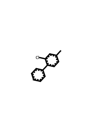 Cc1ccc(-c2cc[c]cc2)c(Cl)c1